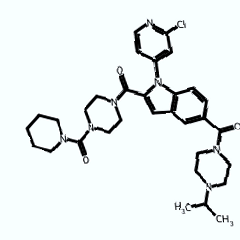 CC(C)N1CCN(C(=O)c2ccc3c(c2)cc(C(=O)N2CCN(C(=O)N4CCCCC4)CC2)n3-c2ccnc(Cl)c2)CC1